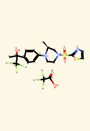 C[C@H]1CN(S(=O)(=O)c2nccs2)CCN1c1ccc(C(C)(O)C(F)(F)F)cc1.O=C(O)C(F)(F)F